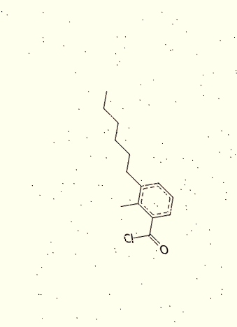 CCCCCCc1cccc(C(=O)Cl)c1C